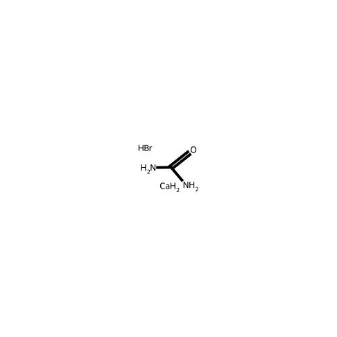 Br.NC(N)=O.[CaH2]